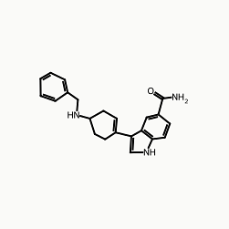 NC(=O)c1ccc2[nH]cc(C3=CCC(NCc4ccccc4)CC3)c2c1